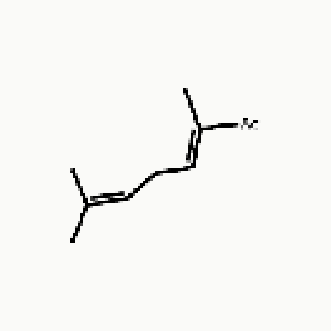 CC(=O)C(C)=CCC=C(C)C